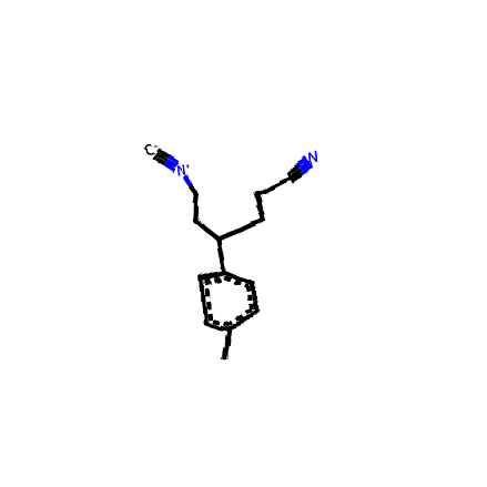 [C-]#[N+]CCC(CCC#N)c1ccc(C)cc1